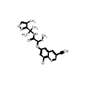 C#Cc1cnc2c(Cl)cc(OC(SC)C(=O)NC(C)(C)c3nocc3C)cc2c1